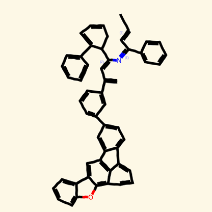 C=C(\C=C(/N=C(\C=C\C)c1ccccc1)C1CC=CC=C1c1ccccc1)c1cccc(-c2ccc3c(c2)-c2cc4c5ccccc5oc4c4cccc-3c24)c1